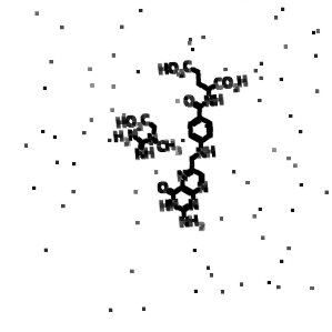 CN(CC(=O)O)C(=N)N.Nc1nc2ncc(CNc3ccc(C(=O)NC(CCC(=O)O)C(=O)O)cc3)nc2c(=O)[nH]1